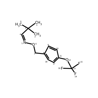 CC(C)(C)/[C]=N\OCc1ccc(OC(F)(F)F)cc1